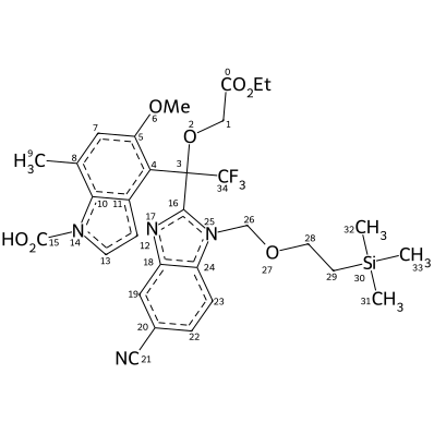 CCOC(=O)COC(c1c(OC)cc(C)c2c1ccn2C(=O)O)(c1nc2cc(C#N)ccc2n1COCC[Si](C)(C)C)C(F)(F)F